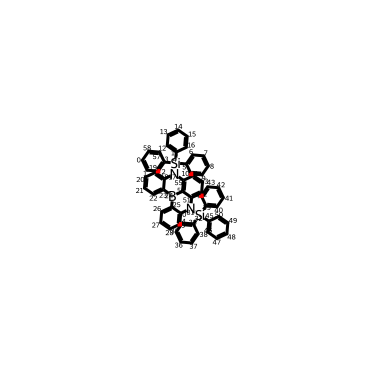 c1ccc([Si](c2ccccc2)(c2ccccc2)N2c3ccccc3B3c4ccccc4N([Si](c4ccccc4)(c4ccccc4)c4ccccc4)c4cccc2c43)cc1